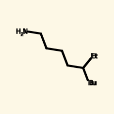 CCC(C)C(CC)CCCCN